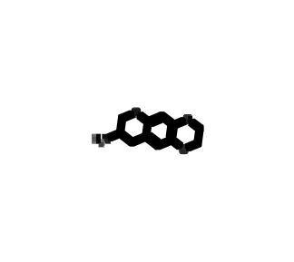 NC1COc2cc3c(cc2C1)OCCO3